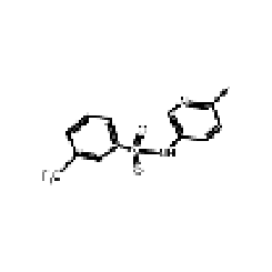 Cc1ccc(NS(=O)(=O)c2cccc(C(F)(F)F)c2)cn1